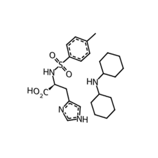 C1CCC(NC2CCCCC2)CC1.Cc1ccc(S(=O)(=O)N[C@@H](Cc2c[nH]cn2)C(=O)O)cc1